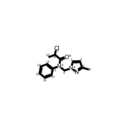 Cc1ccn(CN(C(=O)C(C)Cl)c2ccccc2)n1